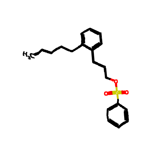 CCCCCc1ccccc1CCCOS(=O)(=O)c1ccccc1